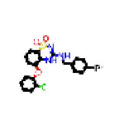 CC(C)c1ccc(CNC2=NS(=O)(=O)c3cccc(Oc4ccccc4Cl)c3N2)cc1